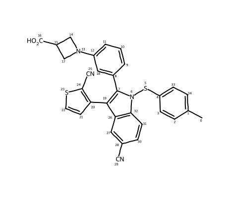 Cc1ccc(Sn2c(-c3cccc(N4CC(C(=O)O)C4)c3)c(-c3ccsc3C#N)c3cc(C#N)ccc32)cc1